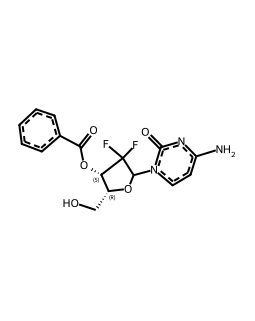 Nc1ccn(C2O[C@H](CO)[C@H](OC(=O)c3ccccc3)C2(F)F)c(=O)n1